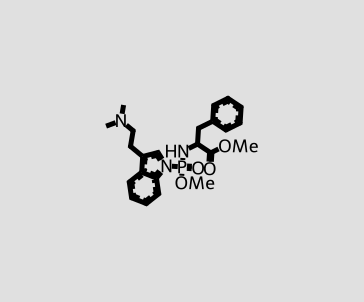 COC(=O)C(Cc1ccccc1)NP(=O)(OC)n1cc(CCN(C)C)c2ccccc21